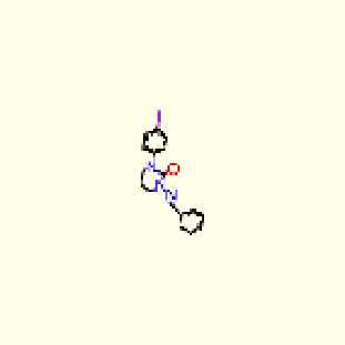 O=C1N(/N=C/c2ccccc2)CCCN1c1ccc(I)cc1